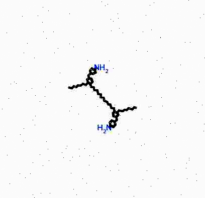 CCCCCCCCc1cc(Cc2ccc(N)cc2)ccc1CCCCCCCCCCCCCCc1ccc(Cc2ccc(N)cc2)cc1CCCCCCCC